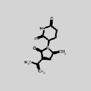 C=C(C)C1=CC(=C)N(C2CCC(=O)NC2=O)C1=O